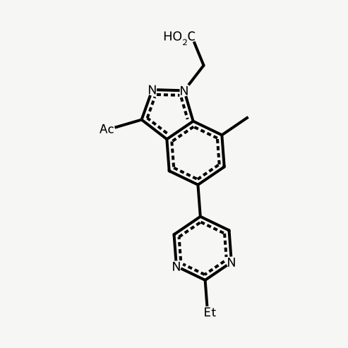 CCc1ncc(-c2cc(C)c3c(c2)c(C(C)=O)nn3CC(=O)O)cn1